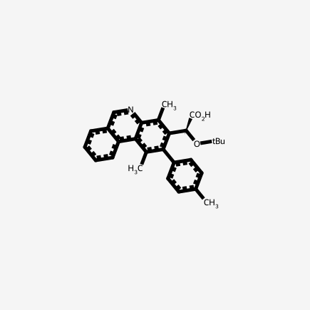 Cc1ccc(-c2c([C@H](OC(C)(C)C)C(=O)O)c(C)c3ncc4ccccc4c3c2C)cc1